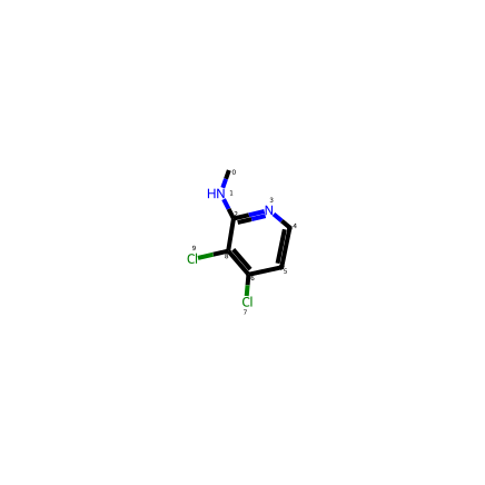 CNc1nccc(Cl)c1Cl